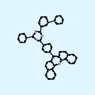 c1ccc(-c2cccc(-c3nc(-c4ccccc4)nc(-c4ccc(-c5c6ccc7ccccc7c6nc6c5ccc5ccccc56)cc4)n3)c2)cc1